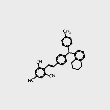 Cc1ccc(N(c2ccc(C=Cc3c(C#N)cc(C#N)cc3C#N)cc2)c2cccc3c2CCCC3)cc1